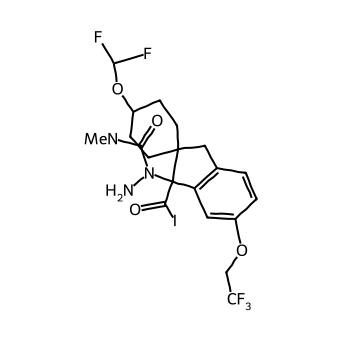 CNC(=O)N(N)C1(C(=O)I)c2cc(OCC(F)(F)F)ccc2CC12CCC(OC(F)F)CC2